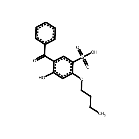 CCCCOc1cc(O)c(C(=O)c2ccccc2)cc1S(=O)(=O)O